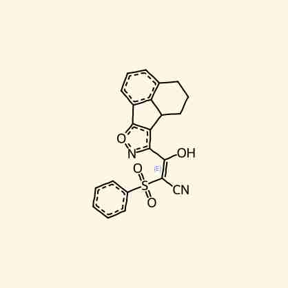 N#C/C(=C(\O)c1noc2c1C1CCCc3cccc-2c31)S(=O)(=O)c1ccccc1